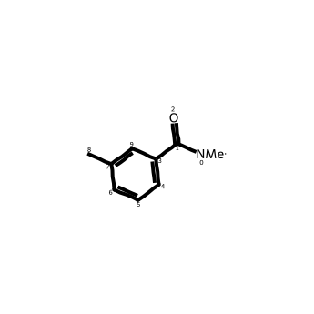 C[N]C(=O)c1cccc(C)c1